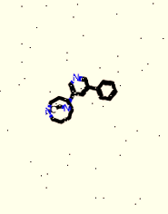 c1ccc(-c2cncc(N3CCN4CCCC3CCC4)c2)cc1